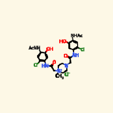 CC(=O)Nc1cc(Cl)c(NC(=O)CN2CC[N+](C)(CC(=O)Nc3cc(O)c(NC(C)=O)cc3Cl)CC2)cc1O.[Cl-]